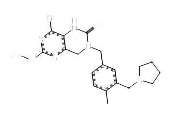 CCCCOc1nc(N)c2c(n1)CN(Cc1ccc(C)c(CN3CCCC3)c1)C(=O)N2